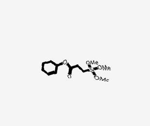 CO[Si](CCC(=O)OC1C=CCCC1)(OC)OC